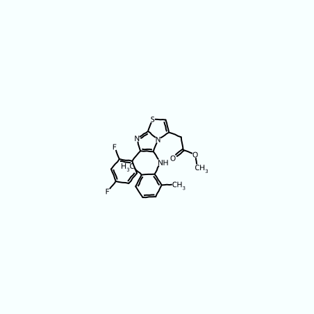 COC(=O)Cc1csc2nc(-c3ccc(F)cc3F)c(Nc3c(C)cccc3C)n12